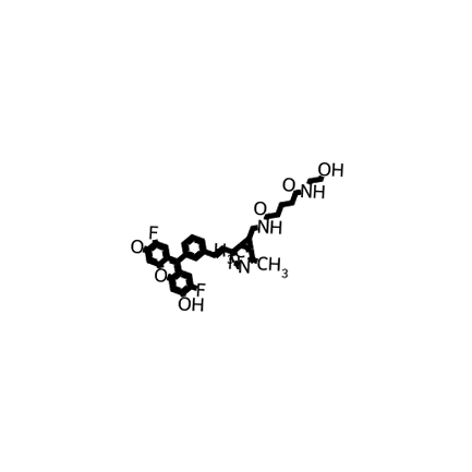 CC1=NN=C(/C=C/c2cccc(-c3c4cc(F)c(=O)cc-4oc4cc(O)c(F)cc34)c2)C2C(CNC(=O)CCCC(=O)NCCO)C12C